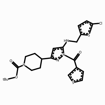 CC(C)(C)OC(=O)N1CCC(c2cc(NCc3ccc(Cl)s3)n(C(=O)c3ccsc3)n2)CC1